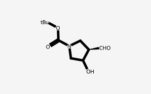 CC(C)(C)OC(=O)N1CC(O)[C@H](C=O)C1